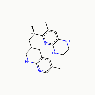 Cc1cnc2c(c1)CC(C[C@@H](C)c1nc3c(cc1C)NCCN3)CN2